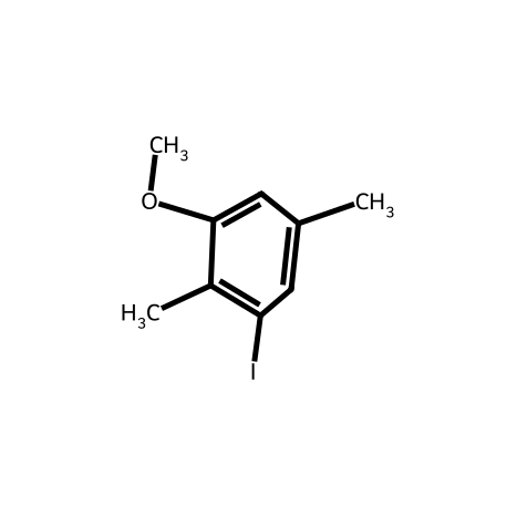 COc1cc(C)cc(I)c1C